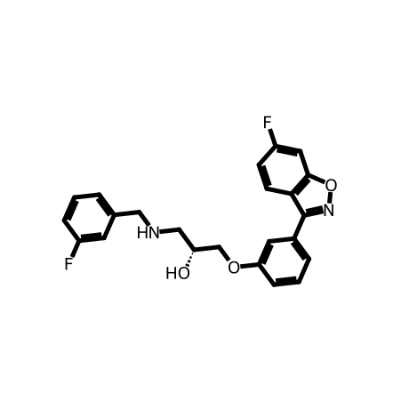 O[C@H](CNCc1cccc(F)c1)COc1cccc(-c2noc3cc(F)ccc23)c1